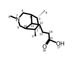 C[C@@H]1C[C@@H](C)C2CN(C)CC1C2CCCC(=O)O